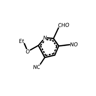 CCOc1nc(C=O)c(N=O)cc1C#N